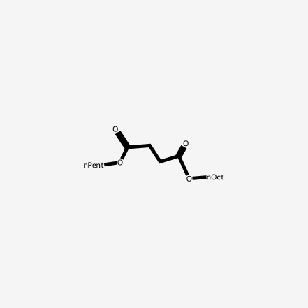 CCCCCCCCOC(=O)CCC(=O)OCCCCC